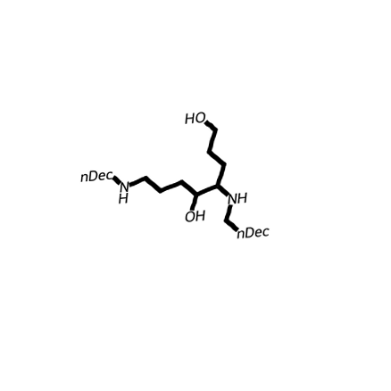 CCCCCCCCCCCNC(CCCO)C(O)CCCNCCCCCCCCCC